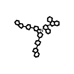 c1ccc2cc(-c3ccc(-c4ccc5c(c4)c4cc(-c6ccc(-c7ccc8ccccc8c7)cc6)ccc4n5-c4ccc(-c5cc6ccccc6c6ccccc56)c5ccccc45)cc3)ccc2c1